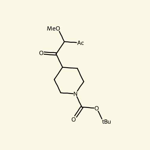 COC(C(C)=O)C(=O)C1CCN(C(=O)OC(C)(C)C)CC1